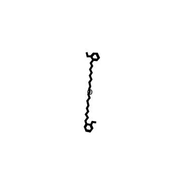 CCc1ccccc1CCCCCCCCCOCCCCCCCCCc1ccccc1CC